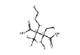 CCCCC(C(=O)O)(C(C)(C)C)C(CC)(CC)C(=O)O